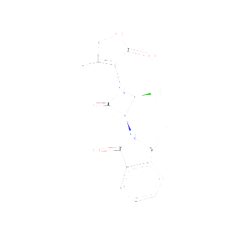 CC1=C(N2C(=O)[C@H](N3C(=O)c4ccccc4C3=O)[C@@H]2Cl)C(=O)OC1